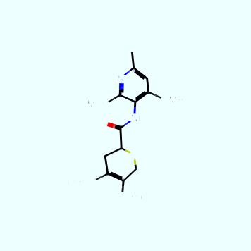 CCCCCC1=C(CCCCC)CC(C(=O)Nc2c(SC)cc(C)nc2SC)SC1